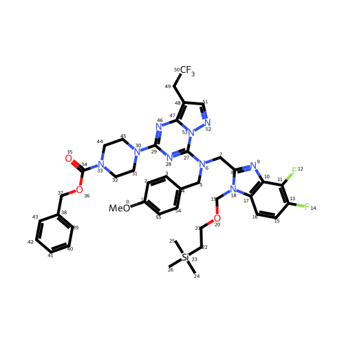 COc1ccc(CN(Cc2nc3c(F)c(F)ccc3n2COCC[Si](C)(C)C)c2nc(N3CCN(C(=O)OCc4ccccc4)CC3)nc3c(CC(F)(F)F)cnn23)cc1